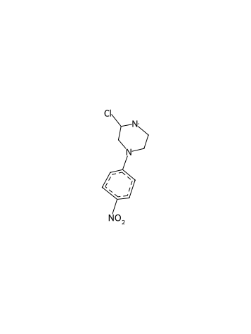 O=[N+]([O-])c1ccc(N2CC[N]C(Cl)C2)cc1